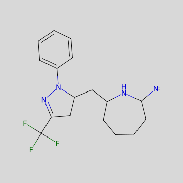 [N]C1CCCCC(CC2CC(C(F)(F)F)=NN2c2ccccc2)N1